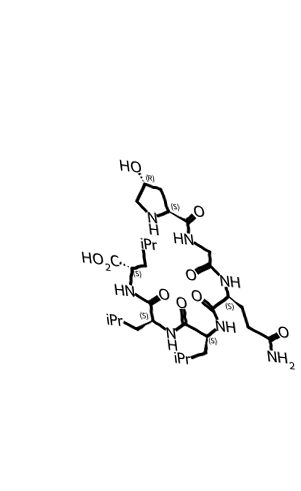 CC(C)C[C@H](NC(=O)[C@H](CC(C)C)NC(=O)[C@H](CC(C)C)NC(=O)[C@H](CCC(N)=O)NC(=O)CNC(=O)[C@@H]1C[C@@H](O)CN1)C(=O)O